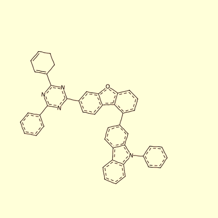 C1=CCCC(c2nc(-c3ccccc3)nc(-c3ccc4c(c3)oc3cccc(-c5ccc6c7ccccc7n(-c7ccccc7)c6c5)c34)n2)=C1